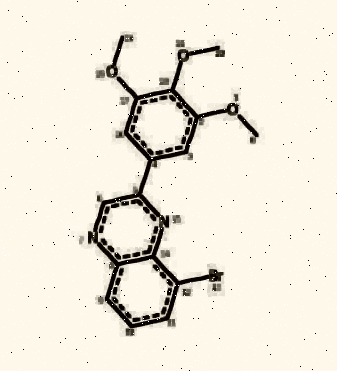 COc1cc(-c2cnc3cccc(Br)c3n2)cc(OC)c1OC